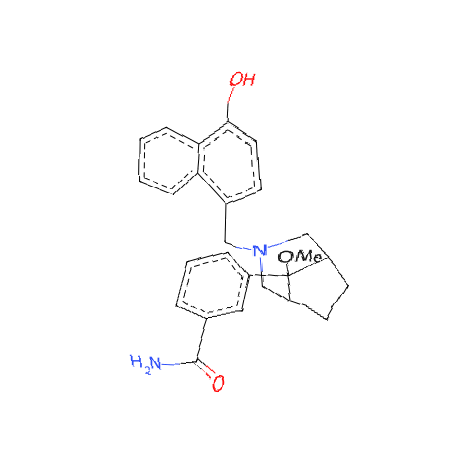 COC1(c2cccc(C(N)=O)c2)C2CCC1CN(Cc1ccc(O)c3ccccc13)C2